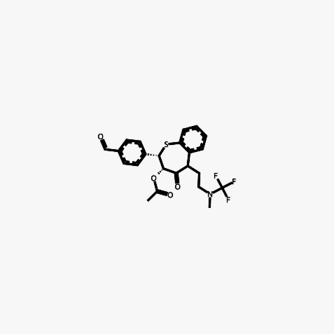 CC(=O)O[C@H]1C(=O)C(CCN(C)C(F)(F)F)c2ccccc2S[C@H]1c1ccc(C=O)cc1